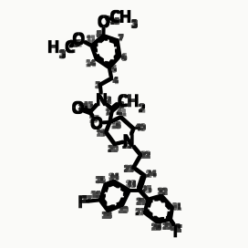 C=C1N(CCc2ccc(OC)c(OC)c2)C(=O)OC12CCN(CCC=C(c1ccc(F)cc1)c1ccc(F)cc1)CC2